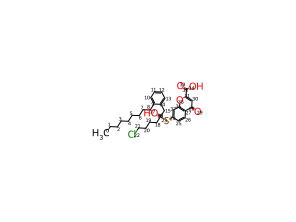 CCCCCCCCCc1ccccc1C[C@@](O)(CCCCCl)Sc1ccc2c(=O)cc(C(=O)O)oc2c1